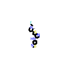 C[C@@H]1[C@H](c2cc3c(Nc4ccc5scnc5c4)ccnc3s2)CCCN1CCF